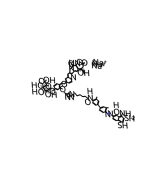 CC[C@@]1(O)CC(=O)ONc2c1cc1n(c2=O)Cc2cc3cc(OCc4ccc(O[C@@H]5O[C@H](C(=O)O)[C@@H](O)[C@H](O)[C@H]5O)cc4OCc4cn(CCCCCC(=O)Nc5ccc(-c6ccc(/N=N/c7ccc8c(S)cc(S)c(N)c8c7O)c(C)c6)cc5C)nn4)ccc3nc2-1.[Na+].[Na+].[Na+]